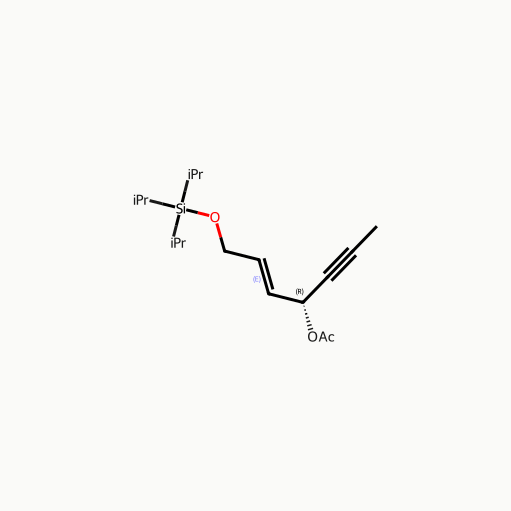 CC#C[C@@H](/C=C/CO[Si](C(C)C)(C(C)C)C(C)C)OC(C)=O